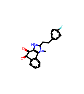 CN1C2=C(NC1CCc1ccc(F)cc1)C(=O)C(=O)c1ccccc12